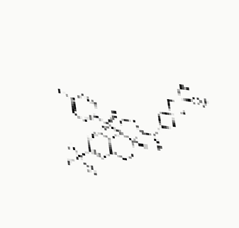 CCCCC1(C(=O)O)CC2(CC(C(=O)N3CC[C@@]4(S(=O)(=O)c5ccc(F)cc5)c5ccc(C(F)(C(F)(F)F)C(F)(F)F)cc5CC[C@@H]34)C2)C1